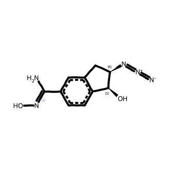 [N-]=[N+]=N[C@@H]1Cc2cc(/C(N)=N/O)ccc2[C@@H]1O